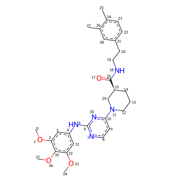 COc1cc(Nc2nccc(N3CCC[C@H](C(=O)NCCc4ccc(C)c(C)c4)C3)n2)cc(OC)c1OC